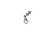 [N-]=[N+]=NN1CCC1